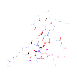 CC[C@H](C)[C@H](NC(=O)[C@@H](N(C)C(=O)[C@H](C)NC(=O)[C@H](CC(N)=O)NC(=O)[C@@H](NC(=O)[C@H](CO)NC(=O)[C@H](C)NC(=O)[C@H](CCCNC(=N)N)NC(=O)[C@@H](N)CC(C)C)[C@@H](C)O)C(C)(C)C)C(=O)N[C@@H](CO)C(=O)N[C@@H](C)C(=O)NCC(=O)N[C@@H](CC(C)C)C(=O)N1CCC[C@H]1C(=O)N1CCC[C@H]1C(=O)N[C@@H](CC(C)C)C(=O)N[C@@H](CCCCN)C(=O)N[C@@H](C)C(=O)N[C@@H](CO)C(=O)O